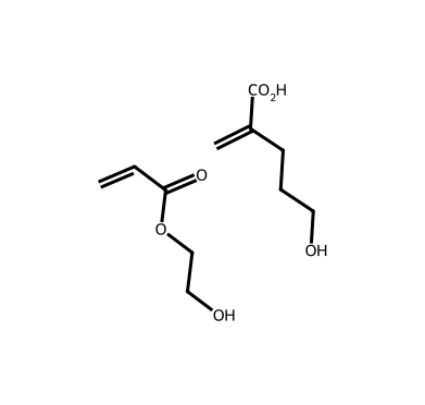 C=C(CCCO)C(=O)O.C=CC(=O)OCCO